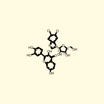 O=c1c(O)c(-c2ccc(O)c(O)c2)oc2cc(O)ccc12.OC[C@H]1O[C@@H](n2cnc3cc(Cl)c(Cl)cc32)[C@H](O)[C@@H]1O